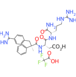 C[C@](Cc1ccc(C(=N)N)cc1)(C(=O)N[C@@H](CC(=O)O)C(=O)N[C@@H](CCCNC(=N)N)C(N)=O)c1ccccc1.O=C(O)C(F)(F)F